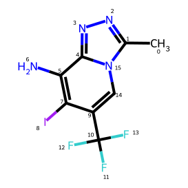 Cc1nnc2c(N)c(I)c(C(F)(F)F)cn12